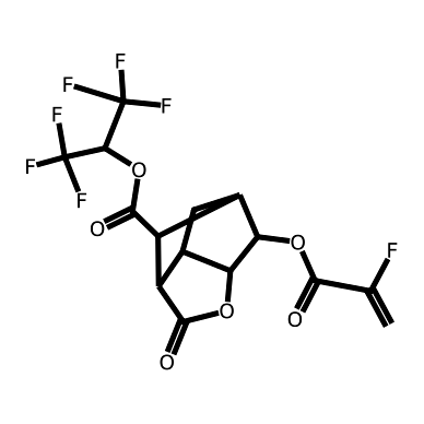 C=C(F)C(=O)OC1C2CC3C1OC(=O)C3C2C(=O)OC(C(F)(F)F)C(F)(F)F